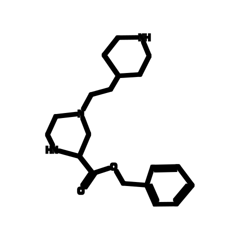 O=C(OCc1ccccc1)C1CN(CCC2CCNCC2)CCN1